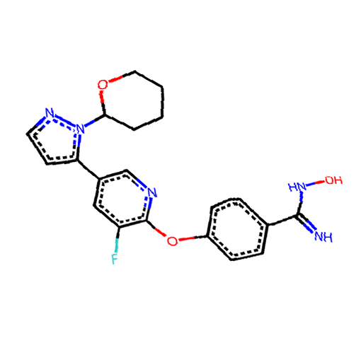 N=C(NO)c1ccc(Oc2ncc(-c3ccnn3C3CCCCO3)cc2F)cc1